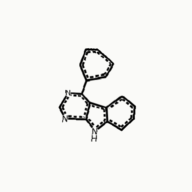 c1ccc(-c2ncnc3[nH]c4ccccc4c23)cc1